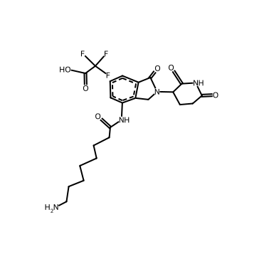 NCCCCCCCC(=O)Nc1cccc2c1CN(C1CCC(=O)NC1=O)C2=O.O=C(O)C(F)(F)F